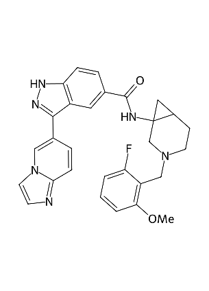 COc1cccc(F)c1CN1CCC2CC2(NC(=O)c2ccc3[nH]nc(-c4ccc5nccn5c4)c3c2)C1